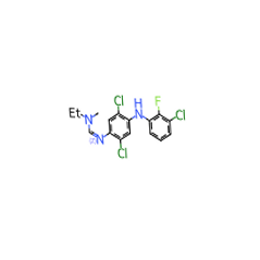 CCN(C)/C=N\c1cc(Cl)c(Nc2cccc(Cl)c2F)cc1Cl